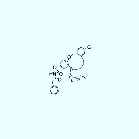 CSC[C@@H]1CC[C@H]1CN1CCCCc2cc(Cl)ccc2COc2ccc(S(=O)(=O)NC(=O)Cc3ccccc3)cc21